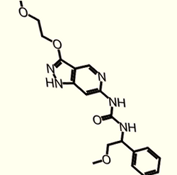 COCCOc1n[nH]c2cc(NC(=O)NC(COC)c3ccccc3)ncc12